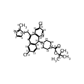 Cc1nccn1CC1=Cc2cc(Cl)ccc2C(N2CCN(C(=O)OC(C)(C)C)CC2)c2ncc(Cl)cc21